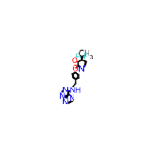 CC(F)(F)C1C=CN=C(Oc2ccc(CCNc3ncnc4nccnc34)cc2)C1=O